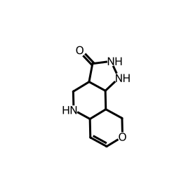 O=C1NNC2C1CNC1C=COCC12